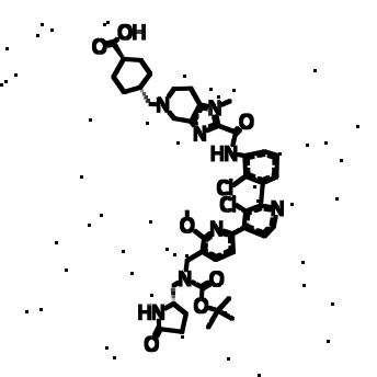 COc1nc(-c2ccnc(-c3cccc(NC(=O)c4nc5c(n4C)CCN(C[C@H]4CC[C@H](C(=O)O)CC4)C5)c3Cl)c2Cl)ccc1CN(C[C@@H]1CCC(=O)N1)C(=O)OC(C)(C)C